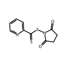 O=C1CCC(=O)N1SC(=S)c1ccccn1